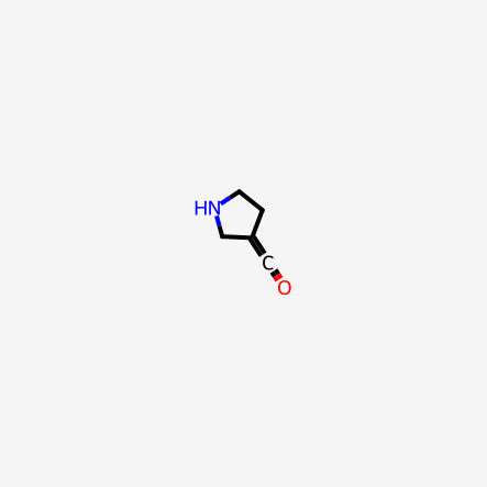 O=C=C1CCNC1